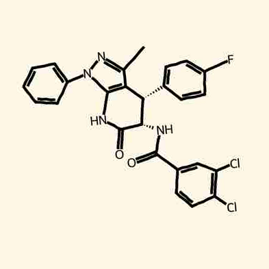 Cc1nn(-c2ccccc2)c2c1[C@H](c1ccc(F)cc1)[C@H](NC(=O)c1ccc(Cl)c(Cl)c1)C(=O)N2